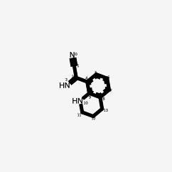 N#CC(=N)c1cccc2c1NCCC2